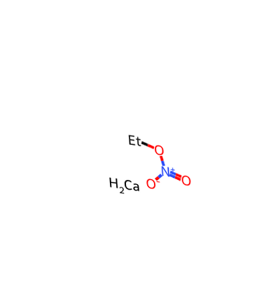 CCO[N+](=O)[O-].[CaH2]